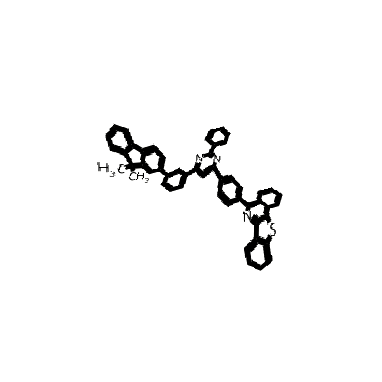 CC1(C)c2ccccc2-c2ccc(-c3cccc(-c4cc(-c5ccc(-c6nc7c8ccccc8sc7c7ccccc67)cc5)nc(-c5ccccc5)n4)c3)cc21